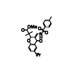 COC(=O)C(C)(C)C1Oc2ccc(C(C)C)cc2C(=O)/C1=C\NS(=O)(=O)c1ccc(C)cc1